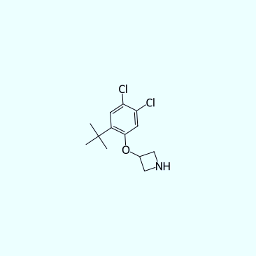 CC(C)(C)c1cc(Cl)c(Cl)cc1OC1CNC1